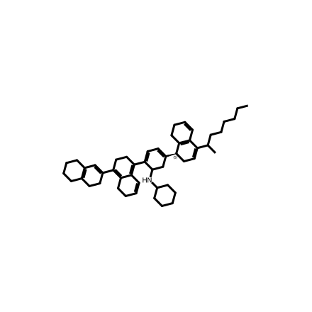 CCCCCCC(C)C1=CC[C@@H](C2=CC=C(C3=C4C=CCCC4=C(C4=CC5=C(CCCC5)CC4)CC3)C(NC3CCCCC3)C2)C2=C1C=CCC2